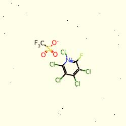 Fc1c(Cl)c(Cl)c(Cl)c(Cl)[n+]1Cl.O=S(=O)([O-])C(F)(F)F